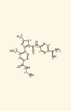 Cc1cc(-c2ccc(C(=O)NCC(C)(C)C)cc2C(=O)O)c(C(=O)Nc2ccc(C(=N)N)cc2)s1